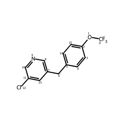 FC(F)(F)Oc1ccc([CH]c2cncc(Cl)c2)cc1